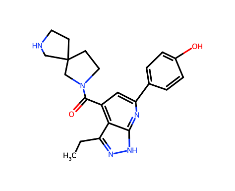 CCc1n[nH]c2nc(-c3ccc(O)cc3)cc(C(=O)N3CCC4(CCNC4)C3)c12